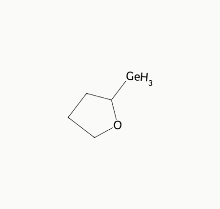 [GeH3][CH]1CCCO1